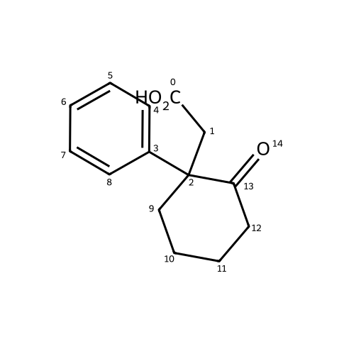 O=C(O)CC1(c2ccccc2)CCCCC1=O